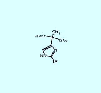 CCCCCCC(C)(CCCCC)c1c[nH]c(Br)n1